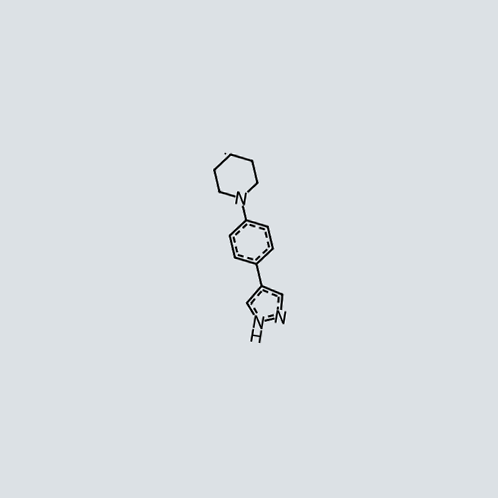 [CH]1CCN(c2ccc(-c3cn[nH]c3)cc2)CC1